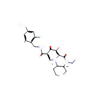 CCN1C(=O)c2c(O)c(=O)c(C(=O)NCc3c(F)cc(C)cc3F)cn2[C@@H]2CCOC[C@H]21